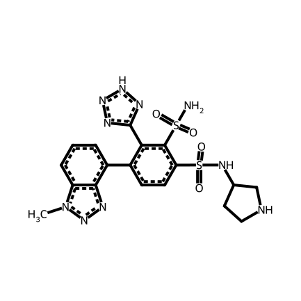 Cn1nnc2c(-c3ccc(S(=O)(=O)NC4CCNC4)c(S(N)(=O)=O)c3-c3nn[nH]n3)cccc21